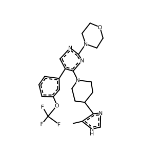 Cc1[nH]cnc1C1CCN(c2nc(N3CCOCC3)ncc2-c2cccc(OC(F)(F)F)c2)CC1